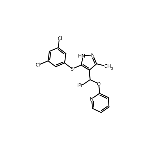 Cc1n[nH]c(Sc2cc(Cl)cc(Cl)c2)c1C(Oc1ccccn1)C(C)C